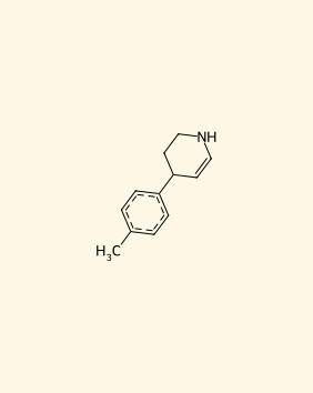 Cc1ccc(C2C=CNCC2)cc1